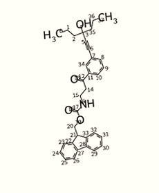 CCCC(O)(C#Cc1cccc(C(=O)CCNC(=O)OCC2c3ccccc3-c3ccccc32)c1)CCC